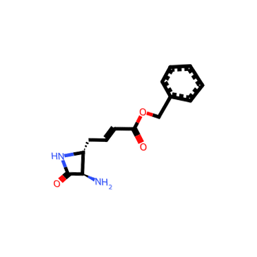 N[C@H]1C(=O)N[C@@H]1C/C=C/C(=O)OCc1ccccc1